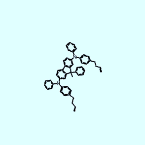 C=CCCc1ccc(N(c2ccccc2)c2ccc3c(c2)C(C)(c2ccccc2)c2cc(N(c4ccccc4)c4ccc(CCC=C)cc4)ccc2-3)cc1